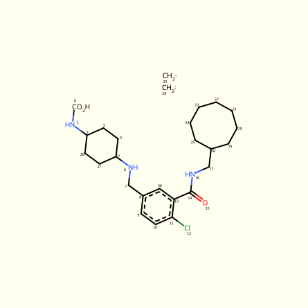 O=C(O)NC1CCC(NCc2ccc(Cl)c(C(=O)NC[C]3CCCCCCC3)c2)CC1.[CH2].[CH2]